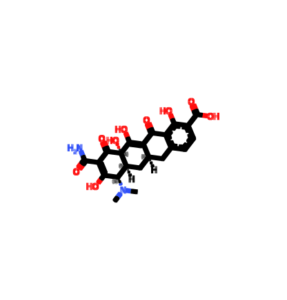 CN(C)[C@@H]1C(O)=C(C(N)=O)C(=O)[C@@]2(O)C(O)=C3C(=O)c4c(ccc(C(=O)O)c4O)C[C@H]3C[C@@H]12